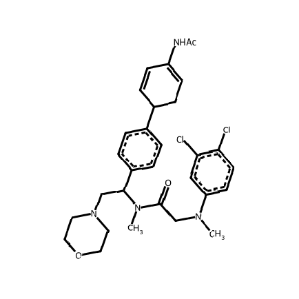 CC(=O)NC1=CCC(c2ccc(C(CN3CCOCC3)N(C)C(=O)CN(C)c3ccc(Cl)c(Cl)c3)cc2)C=C1